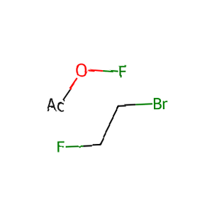 CC(=O)OF.FCCBr